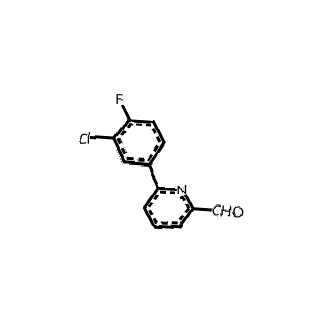 O=Cc1cccc(-c2ccc(F)c(Cl)c2)n1